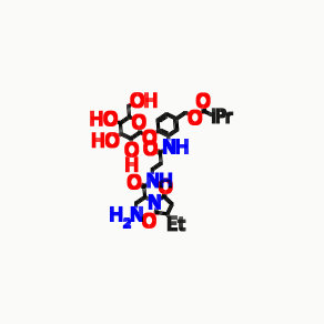 CCC1CC(=O)N(C(CN)C(=O)NCCC(=O)Nc2cc(COC(=O)C(C)C)ccc2OC2OC(CO)C(O)C(O)C2O)C1=O